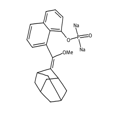 COC(=C1C2CC3CC(C2)CC1C3)c1cccc2cccc(O[P](=O)([Na])[Na])c12